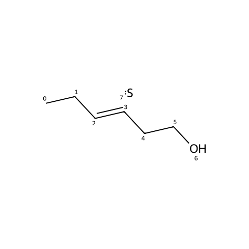 CCC=CCCO.[S]